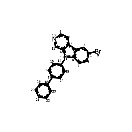 Brc1ccc2c(c1)c1ccncc1n2-c1ccc(-c2ccccc2)cc1